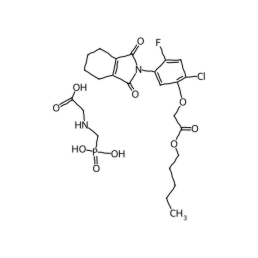 CCCCCOC(=O)COc1cc(N2C(=O)C3=C(CCCC3)C2=O)c(F)cc1Cl.O=C(O)CNCP(=O)(O)O